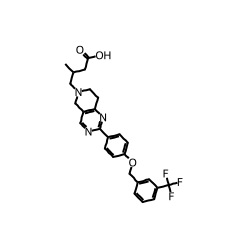 CC(CC(=O)O)CN1CCc2nc(-c3ccc(OCc4cccc(C(F)(F)F)c4)cc3)ncc2C1